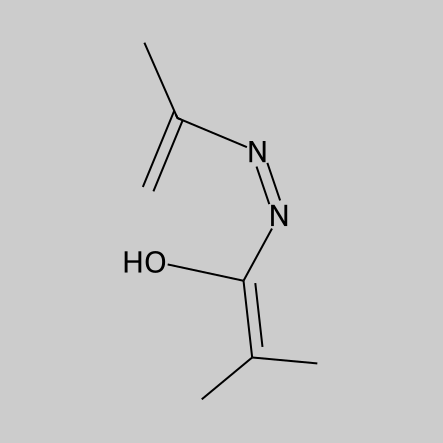 C=C(C)/N=N\C(O)=C(C)C